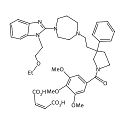 CCOCCn1c(N2CCCN(CCC3(c4ccccc4)CCN(C(=O)c4cc(OC)c(OC)c(OC)c4)C3)CC2)nc2ccccc21.O=C(O)/C=C\C(=O)O